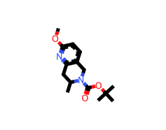 COc1ccc2c(n1)CC(C)N(C(=O)OC(C)(C)C)C2